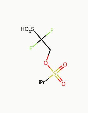 CC(C)S(=O)(=O)OCC(F)(F)S(=O)(=O)O